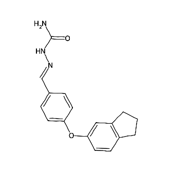 NC(=O)NN=Cc1ccc(Oc2ccc3c(c2)CCC3)cc1